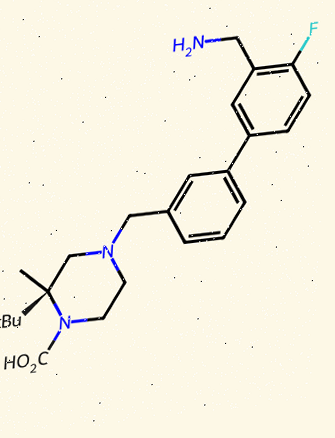 CC(C)(C)[C@@]1(C)CN(Cc2cccc(-c3ccc(F)c(CN)c3)c2)CCN1C(=O)O